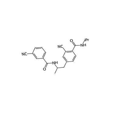 CC(C)NC(=O)c1ccc(CC(C)NC(=O)c2cccc(C#N)c2)cc1C#N